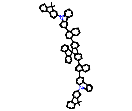 CC1(C)c2ccccc2-c2ccc(-n3c4ccccc4c4cc(-c5ccc(-c6ccc7c(c6)C6(c8ccccc8-c8ccccc86)c6cc(-c8ccc(-c9ccc%10c(c9)c9ccccc9n%10-c9ccc%10c(c9)C(C)(C)c9ccccc9-%10)c9ccccc89)ccc6-7)c6ccccc56)ccc43)cc21